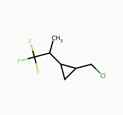 CC(C1CC1CCl)C(F)(F)F